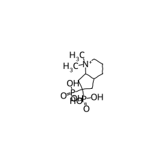 C[N+]1(C)CCCC2CC(P(=O)(O)O)(P(=O)(O)O)CC21